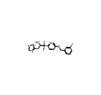 OC(Cc1nnn[nH]1)C(F)(F)c1ccc(OCc2cccc(F)c2)cn1